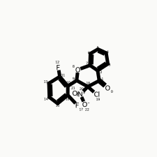 O=C1c2ccccc2OC(c2c(F)cccc2F)C1(Cl)[N+](=O)[O-]